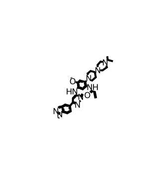 C=CC(=O)Nc1cc(N/C(=C/C(=N\C)c2ccc3c(cnn3C)c2)N=C)c(OC)cc1N1CCC(N2CCN(C(C)C)CC2)CC1